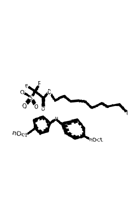 CCCCCCCCc1ccc([I+]c2ccc(CCCCCCCC)cc2)cc1.O=C(OCCCCCCCCI)C(F)(F)S(=O)(=O)[O-]